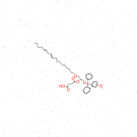 CCCCC=CCC=CCCCCCCCCCOCC(COC(c1ccccc1)(c1ccccc1)c1ccc(OC)cc1)OC(=O)CCC(=O)O